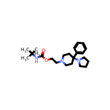 CC(C)(C)NC(=O)OCCN1CCC(c2ccccc2)(N2CCCC2)CC1